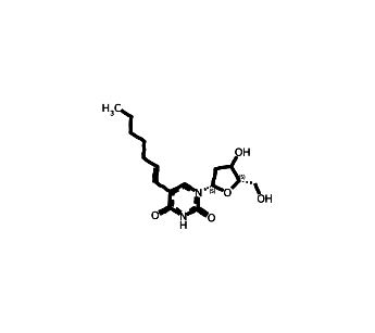 CCCCCC=Cc1cn([C@@H]2CC(O)[C@H](CO)O2)c(=O)[nH]c1=O